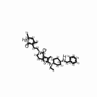 CCN(c1sc2c(c1C)C(=O)N(CCc1c(C)cc(C)[nH]c1=O)CC2)[C@H]1CC[C@H](NCc2ccccc2)CC1